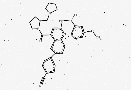 COc1cccc([C@@H](C)Nc2cc(C(=O)N3CCC[C@H]3CN3CCCC3)c3cc(-c4ccc(C#N)cc4)ccc3n2)c1